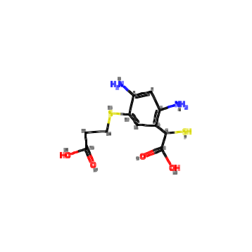 Nc1cc(N)c(C(S)C(=O)O)cc1SCCC(=O)O